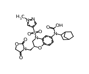 Cn1cc(S(=O)(=O)N2C[C@H](CN3C(=O)COC3=O)Oc3ccc(N(C(=O)O)C4CC5CCC4C5)cc32)cn1